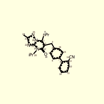 CCCc1c(Cc2ccc(-c3ccccc3C#N)cc2)c(=O)n(C(C)C)c2nc(C)nn12